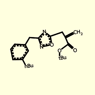 C=C(Cc1nc(Cc2cccc(CCCC)c2)no1)C(=O)OC(C)(C)C